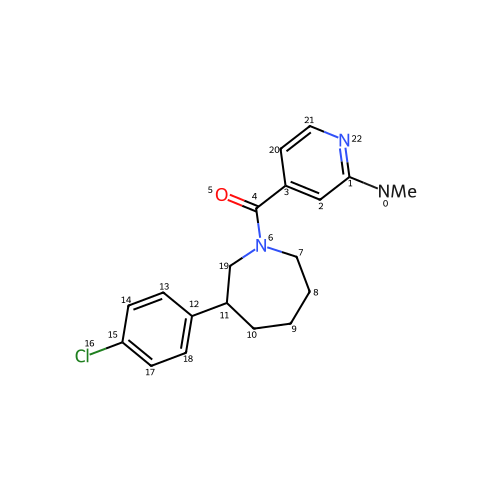 CNc1cc(C(=O)N2CCCCC(c3ccc(Cl)cc3)C2)ccn1